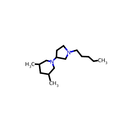 CCCCCN1CCC(N2CC(C)CC(C)C2)C1